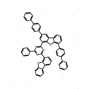 c1ccc(-c2ccc(-c3cc(-c4nc(-c5ccccc5)nc(-c5cccc6c5oc5ccccc56)n4)c4sc5c(-c6ccc(-c7ccccc7)cc6)cccc5c4c3)cc2)cc1